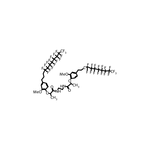 COc1cc(CCCC(F)(F)C(F)(F)C(F)(F)C(F)(F)C(F)(F)C(F)(F)C(F)(F)C(F)(F)F)ccc1OC(C)C(=O)NCCNC(=O)C(C)Oc1ccc(CCCC(F)(F)C(F)(F)C(F)(F)C(F)(F)C(F)(F)C(F)(F)C(F)(F)C(F)(F)F)cc1OC